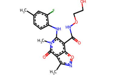 Cc1ccc(Nc2c(C(=O)NOCCO)c3onc(C)c3c(=O)n2C)c(F)c1